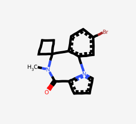 CN1C(=O)c2cccn2-c2cc(Br)ccc2C12CCC2